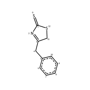 S=C1N=C(Cc2ccccc2)CS1